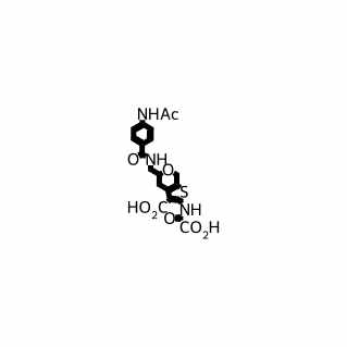 CC(=O)Nc1ccc(C(=O)NCC2Cc3c(sc(NC(=O)C(=O)O)c3C(=O)O)CO2)cc1